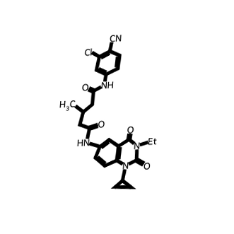 CCn1c(=O)c2cc(NC(=O)CC(C)CC(=O)Nc3ccc(C#N)c(Cl)c3)ccc2n(C2CC2)c1=O